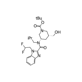 CC(C)CN(C(=O)c1nc2ccccc2n1CC(F)F)[C@H]1C[C@@H](CO)CN(C(=O)OC(C)(C)C)C1